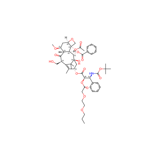 CCCOCCOCC(=O)O[C@@H](C(=O)O[C@H]1C[C@@]2(O)[C@@H](OC(=O)c3ccccc3)[C@@H]3[C@]4(OC(C)=O)CO[C@@H]4C[C@H](OC)[C@@]3(C)C(=O)[C@H](CO)C(=C1C)C2(C)C)[C@@H](NC(=O)OC(C)(C)C)c1ccccc1